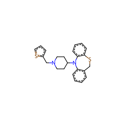 c1csc(CN2CCC(N3c4ccccc4CSc4ccccc43)CC2)c1